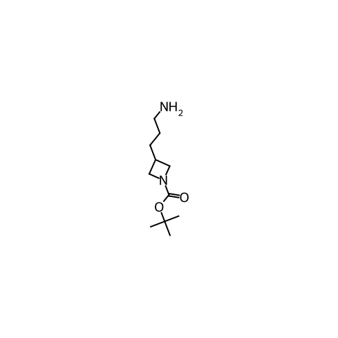 CC(C)(C)OC(=O)N1CC(CCCN)C1